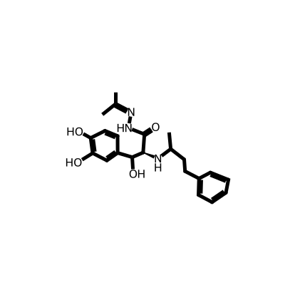 CC(C)=NNC(=O)[C@@H](NC(C)CCc1ccccc1)C(O)c1ccc(O)c(O)c1